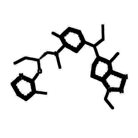 CCC(c1ccc(C)c(N(C)C[C@@H](CC)Oc2ncccc2C)c1)c1ccc2c(nnn2CC)c1C